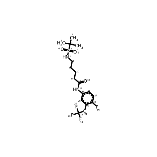 CC(C)(C)S(=O)(=O)NCCCCC(=O)Nc1ccc(F)c(OC(F)(F)F)c1